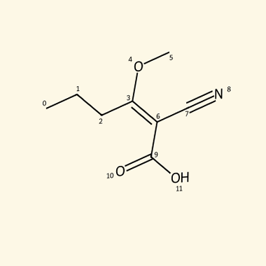 CCCC(OC)=C(C#N)C(=O)O